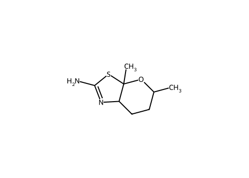 CC1CCC2N=C(N)SC2(C)O1